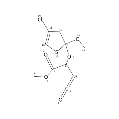 COC(=O)C(C=C=O)OC1(OC)CC(Cl)=CS1